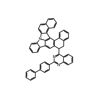 c1ccc(-c2ccc(-c3nc(C4Cc5ccccc5-c5c4cc4c6ccccc6n6c7ccc8ccccc8c7c5c46)c4ccccc4n3)cc2)cc1